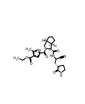 CCOC(=O)c1cc(C(=O)N2C[C@@H]3CCC[C@@H]3[C@H]2C(=O)NC(C#N)C[C@@H]2CCNC2=O)[nH]c1C